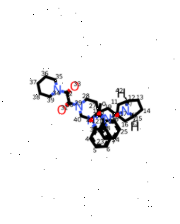 Cc1nc2ccccc2n1[C@H]1C[C@H]2CC[C@@H](C1)N2CCC1(c2ccccc2)CCN(C(=O)C(=O)N2CCCCC2)CC1